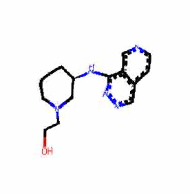 OCCN1CCC[C@@H](Nc2nncc3ccncc23)C1